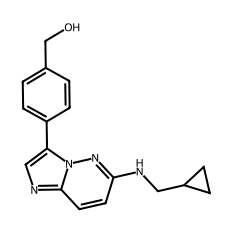 OCc1ccc(-c2cnc3ccc(NCC4CC4)nn23)cc1